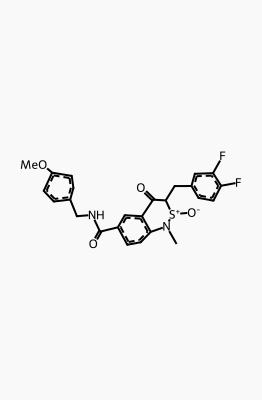 COc1ccc(CNC(=O)c2ccc3c(c2)C(=O)C(Cc2ccc(F)c(F)c2)[S+]([O-])N3C)cc1